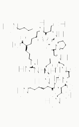 C[C@H](NC(=O)[C@@H](NC(=O)[C@@H](N)CCCCN)[C@@H](O)CN)C(=O)NCC(=O)N[C@H](CCCN)C(=O)N1CCC[C@H]1C(=O)N[C@H](C(=O)N[C@@H](CCCCN)C(=O)CC/C(=C\CCNC(=N)N)C(=O)O)[C@H](C)O